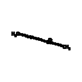 CCCCCCCCCCCCCCCCCCCCCCOC([O])CCCCCCCCCCC